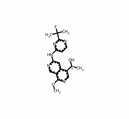 COc1ncc([C@H](C)O)c2cc(Nc3ccnc(C(C)(C)F)n3)ncc12